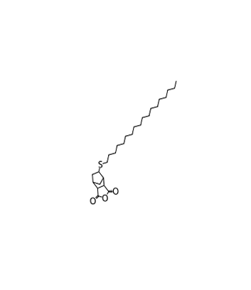 CCCCCCCCCCCCCCCCCCSC1CC2CC1C1C(=O)OC(=O)C21